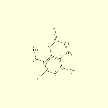 [CH]c1cc(F)c(SC)c(CC(=O)O)c1C